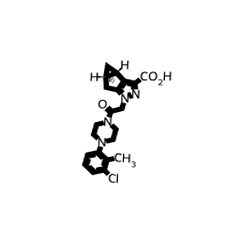 Cc1c(Cl)cccc1N1CCN(C(=O)Cn2nc(C(=O)O)c3c2C[C@H]2C[C@@H]32)CC1